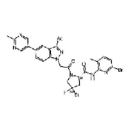 CC[C@]1(F)C[C@@H](C(=O)Nc2nc(Br)ccc2C)N(C(=O)Cn2nc(C(C)=O)c3cc(-c4cnc(C)nc4)ccc32)C1